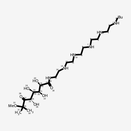 CCC(C)NCCNCCNCCNCCNCCNC(=O)[C@H](O)[C@@H](O)[C@H](O)[C@H](O)C(=O)C(C)(C)OC